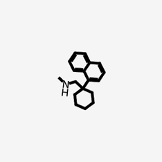 CNCC1(c2cccc3ccccc23)CCCCC1